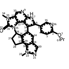 CC(C)Oc1ccc(-c2[nH]c3ncc4c(c3c2-c2ccc3c(cnn3C)c2)n(C2CCCC2)c(=O)n4C)cn1